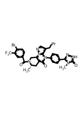 CC(C)Cc1cnn2c3c(c(=O)n(-c4ccc(-c5n[nH]c(=O)n5C)cc4)c12)C[C@H](C)N(C(=O)c1ccc(Br)c(C(F)(F)F)c1)C3